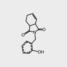 O=C1C2C=CCCC2C(=O)N1Cc1ccccc1O